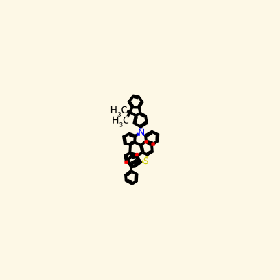 CC1(C)c2ccccc2-c2ccc(N(c3ccccc3)c3cccc(-c4ccc(-c5ccccc5)cc4)c3-c3cccc4sc5ccccc5c34)cc21